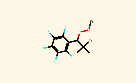 CCOOC(c1c(F)c(F)c(F)c(F)c1F)C(C)(C)CC